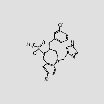 CS(=O)(=O)N1Cc2cc(Br)ccc2N(Cc2c[nH]cn2)CC1Cc1cccc(Cl)c1